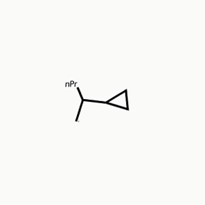 [CH2]C(CCC)C1CC1